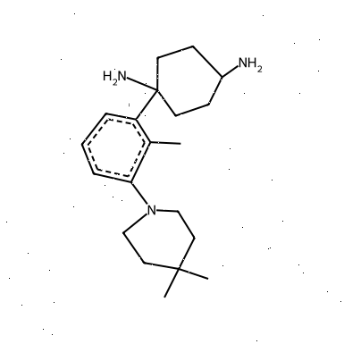 Cc1c(N2CCC(C)(C)CC2)cccc1C1(N)CCC(N)CC1